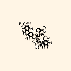 [2H]c1c([2H])c(CSc2nc(=O)c3c(n2CC(=O)N(Cc2c([2H])c([2H])c(-c4c([2H])c([2H])c(C(F)(F)F)c(C)c4[2H])c([2H])c2[2H])C([2H])([2H])C([2H])([2H])N(CC)CC)CCC3)c([2H])c([2H])c1F